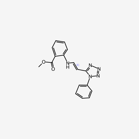 COC(=O)c1ccccc1N/C=C/c1nnnn1-c1ccccc1